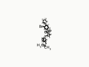 CN(C)Cc1cn(CC2CCN2S(=O)(=O)c2ccc(N3CCCC3)c(Br)c2)nn1